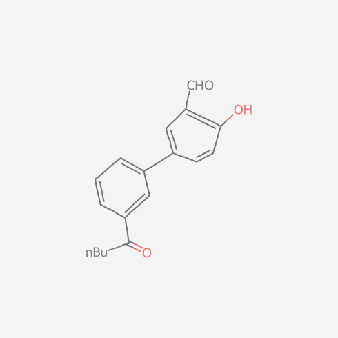 CCCCC(=O)c1cccc(-c2ccc(O)c(C=O)c2)c1